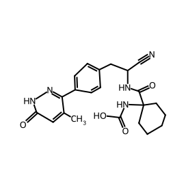 Cc1cc(=O)[nH]nc1-c1ccc(CC(C#N)NC(=O)C2(NC(=O)O)CCCCC2)cc1